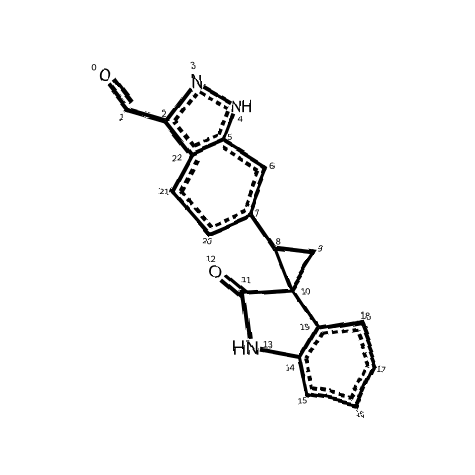 O=Cc1n[nH]c2cc(C3CC34C(=O)Nc3ccccc34)ccc12